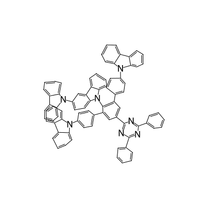 c1ccc(-c2nc(-c3ccccc3)nc(-c3cc(-c4ccc(-n5c6ccccc6c6ccccc65)cc4)c(-n4c5ccccc5c5cc(-n6c7ccccc7c7ccccc76)ccc54)c(-c4ccc(-n5c6ccccc6c6ccccc65)cc4)c3)n2)cc1